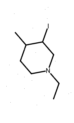 CCN1CCC(C)C(I)C1